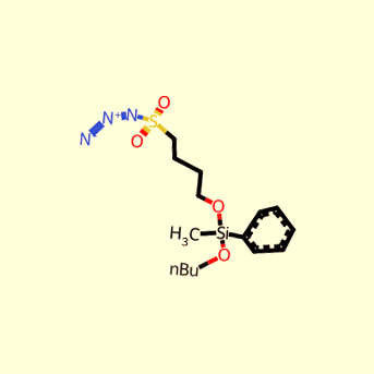 CCCCO[Si](C)(OCCCCS(=O)(=O)N=[N+]=[N-])c1ccccc1